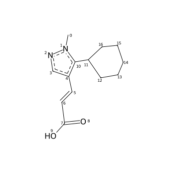 Cn1ncc(C=CC(=O)O)c1C1CCCCC1